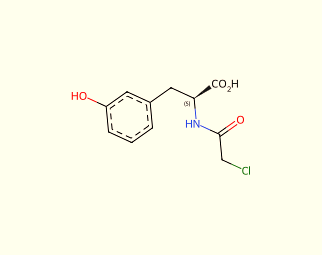 O=C(CCl)N[C@@H](Cc1cccc(O)c1)C(=O)O